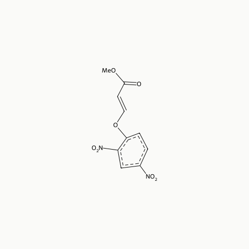 COC(=O)C=COc1ccc([N+](=O)[O-])cc1[N+](=O)[O-]